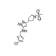 CS(=O)(=O)N1CCC(c2cc(NCc3ccc(Cl)s3)[nH]n2)C1